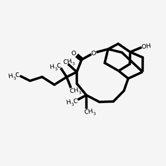 CCCCC(C)(C)C1(C)CC(C)(C)CCCC2C3CC4(O)CC2CC(C3)(C4)OC1=O